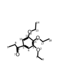 CCOc1cc(C(=O)CC)cc(OCC)c1OCC